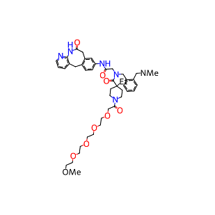 CCC1(C(=O)N(CC(=O)Nc2ccc3c(c2)CC(=O)Nc2ncccc2C3)Cc2ccccc2CNC)CCN(C(=O)COCCOCCOCCOCCOC)CC1